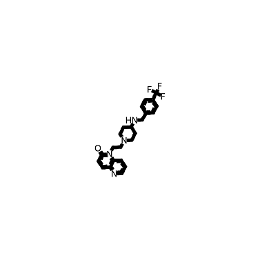 O=c1ccc2ncccc2n1CCN1CCC(NCc2ccc(C(F)(F)F)cc2)CC1